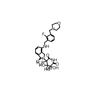 BC1(N2Cc3c(NCc4cccc(CN5CCOCC5)c4F)cccc3C2=O)C(=O)NC(=O)C(O)(O)C1(O)O